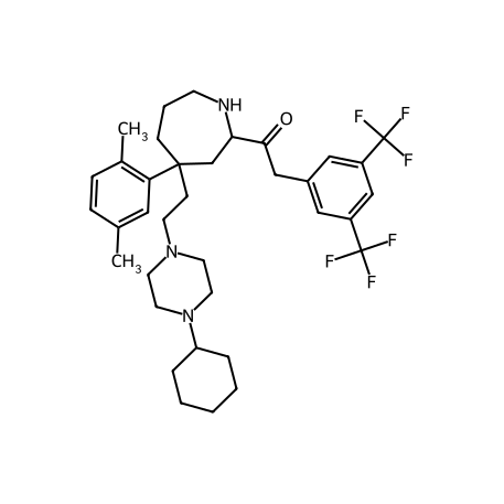 Cc1ccc(C)c(C2(CCN3CCN(C4CCCCC4)CC3)CCCNC(C(=O)Cc3cc(C(F)(F)F)cc(C(F)(F)F)c3)C2)c1